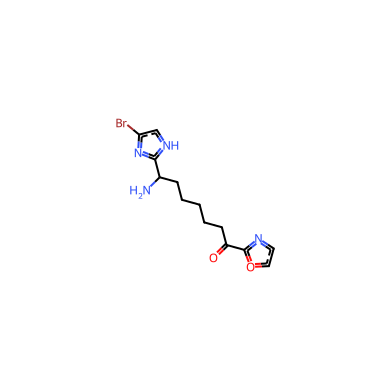 NC(CCCCCC(=O)c1ncco1)c1nc(Br)c[nH]1